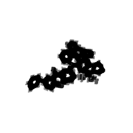 CC1(C)c2ccccc2-c2cc3c(cc21)N(c1ccc2oc4ccc(-c5ccccc5)cc4c(=O)c2c1)c1ccccc1C31c2ccccc2-c2ccccc21